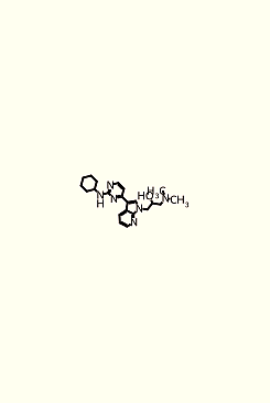 CN(C)CC(O)Cn1cc(-c2ccnc(NC3CCCCC3)n2)c2cccnc21